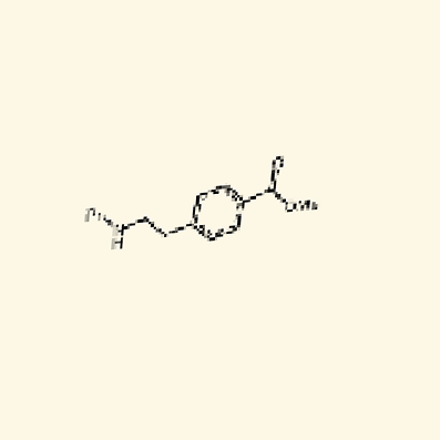 COC(=O)c1ccc(CCNC(C)C)cc1